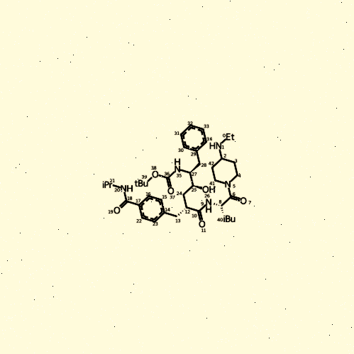 CCNC1CCN(C(=O)[C@@H](NC(=O)[C@H](Cc2ccc(C(=O)NC(C)C)cc2)C[C@H](O)[C@H](Cc2ccccc2)NC(=O)OC(C)(C)C)[C@@H](C)CC)CC1